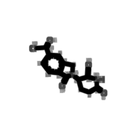 O=C1CCC(N2Cc3cc(C(=O)Cl)ccc3C2=O)C(=O)N1